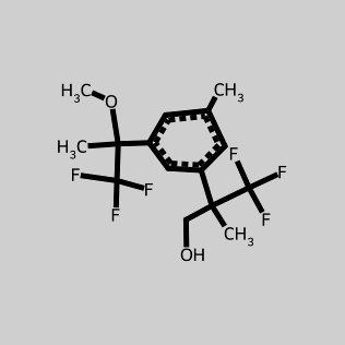 COC(C)(c1cc(C)cc(C(C)(CO)C(F)(F)F)c1)C(F)(F)F